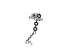 CCCCCCCCOc1ccc(-c2ccc(C(=O)Nc3ccccc3CP(=O)(O)O)cc2)cc1